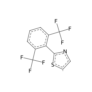 FC(F)(F)c1cccc(C(F)(F)F)c1-c1nc[c]s1